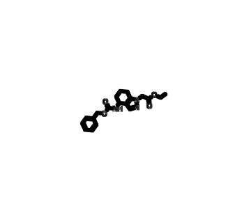 CCOC(=O)Cn1ncc2c1CCCC2NC(=O)OCc1ccccc1